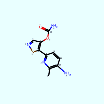 Cc1nc(-c2sncc2OC(N)=O)ccc1N